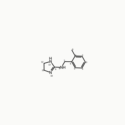 Cc1ccccc1CNC1=NCCN1